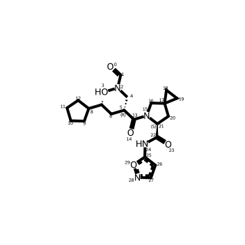 O=CN(O)C[C@@H](CCC1CCCC1)C(=O)N1CC2(CC2)C[C@H]1C(=O)Nc1ccno1